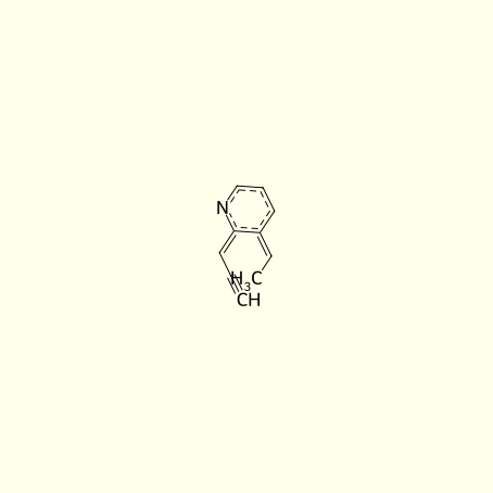 C#C/C=c1/nccc/c1=C/C